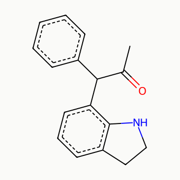 CC(=O)C(c1ccccc1)c1cccc2c1NCC2